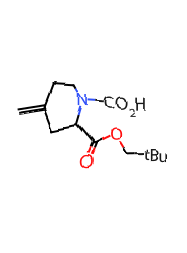 C=C1CCN(C(=O)O)C(C(=O)OCC(C)(C)C)C1